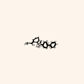 O=C(NO)C1CCCCC1NS(=O)(=O)c1ccc(-c2ccccc2)cc1